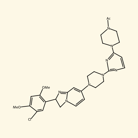 COc1cc(OC)c(C2CN3C=CC(N4CCN(c5nccc(N6CCN(C(C)=O)CC6)n5)CC4)=CC3=N2)cc1Cl